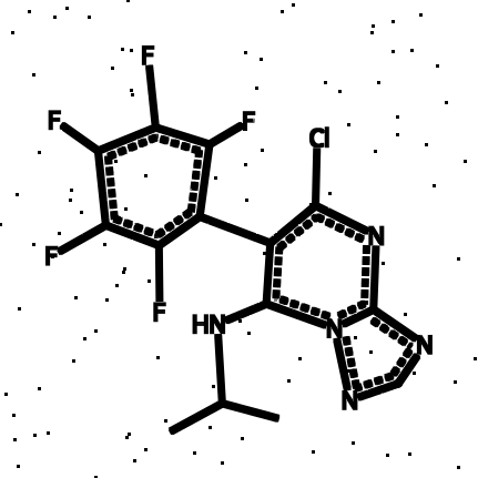 CC(C)Nc1c(-c2c(F)c(F)c(F)c(F)c2F)c(Cl)nc2ncnn12